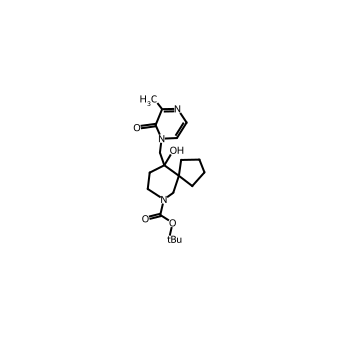 Cc1nccn(CC2(O)CCN(C(=O)OC(C)(C)C)CC23CCCC3)c1=O